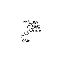 COc1cccc(C(=O)/C=C\Nc2cc(OC)c(OC)cc2/C=C\c2cc(OC)c(OC)c(OC)c2)c1